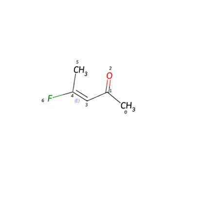 CC(=O)/C=C(\C)F